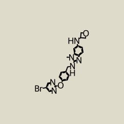 Cn1c(NCc2ccc(Oc3ncc(Br)cn3)cc2)nc2ccc(NC3COC3)cc21